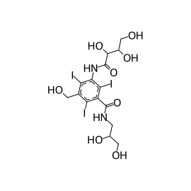 O=C(NCC(O)CO)c1c(I)c(CO)c(I)c(NC(=O)C(O)C(O)CO)c1I